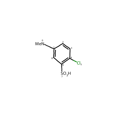 CNc1ccc(Cl)c(S(=O)(=O)O)c1